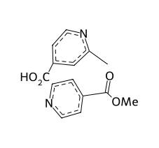 COC(=O)c1ccncc1.Cc1cc(C(=O)O)ccn1